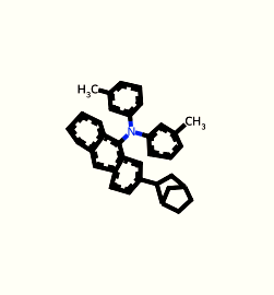 Cc1cccc(N(c2cccc(C)c2)c2c3ccccc3cc3ccc(C4CC5CCC4C5)cc23)c1